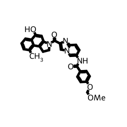 COCOc1ccc(C(=O)Nc2ccc3nc(C(=O)N4CCc5c4cc(O)c4cccc(C)c54)cn3c2)cc1